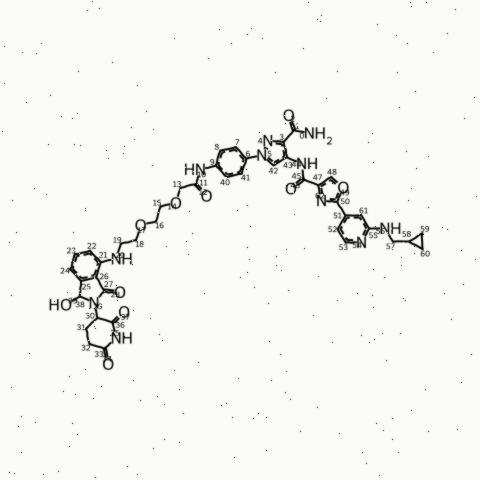 NC(=O)c1nn(-c2ccc(NC(=O)COCCOCCNc3cccc4c3C(=O)N(C3CCC(=O)NC3=O)C4O)cc2)cc1NC(=O)c1coc(-c2ccnc(NCC3CC3)c2)n1